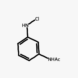 CC(=O)Nc1cccc(NCl)c1